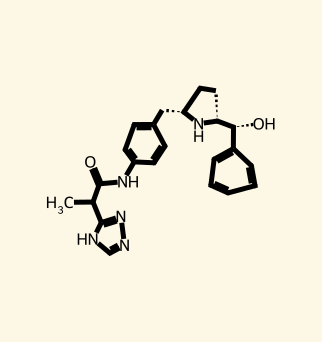 CC(C(=O)Nc1ccc(C[C@@H]2CC[C@H]([C@H](O)c3ccccc3)N2)cc1)c1nnc[nH]1